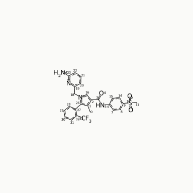 Cc1c(C(=O)Nc2ccc(S(C)(=O)=O)cc2)cn(Cc2cccc(N)n2)c1-c1ccccc1C(F)(F)F